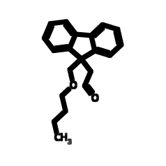 CCCCOCC1(CC=O)c2ccccc2-c2ccccc21